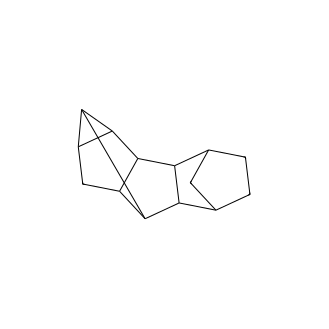 C1CC2CC1C1C2C2C3CC4C(C31)C42